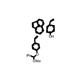 C1=Cc2cccc3cccc1c23.C=Cc1ccc(O)cc1.C=Cc1ccc(OC(OC)C(C)C)cc1